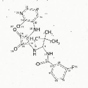 CC(C)(C)C(NC(=O)c1cccc(F)c1)Nc1c(Nc2cccnc2Cl)c(=O)c1=O